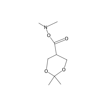 CN(C)OC(=O)C1COC(C)(C)OC1